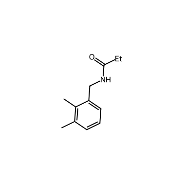 CCC(=O)NCc1cccc(C)c1C